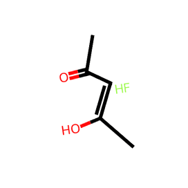 CC(=O)/C=C(/C)O.F